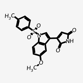 COc1ccc2c(c1)c(C1=CC(=O)NC1=O)cn2S(=O)(=O)c1ccc(C)cc1